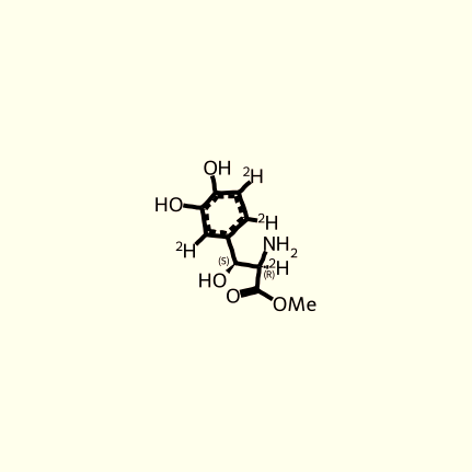 [2H]c1c([2H])c([C@H](O)[C@@]([2H])(N)C(=O)OC)c([2H])c(O)c1O